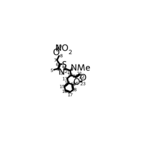 CNC(c1nc(C)c(CCO[N+](=O)[O-])s1)C(Cc1ccccc1)C1=COCO1